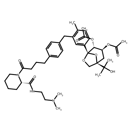 CC(=O)O[C@H]1C[C@]2(C(C)(C)O)CO[C@@](c3ccc(C)c(Cc4ccc(CCCC(=O)N5CCCC[C@H]5C(=O)NCCN(C)C)cc4)c3)(O2)[C@@H]1OC(C)=O